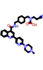 CN1CCN(c2ccc(-c3cc(C(=O)NCC4CCC(CN(CCC#N)C(=O)O)CC4)c4ccccc4n3)cn2)CC1